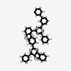 c1ccc(-c2cccc(-c3nc(-c4ccccc4)nc(-c4cccc5oc6cc(-c7nc(-c8ccccc8)c8oc9ccccc9c8n7)ccc6c45)n3)c2)cc1